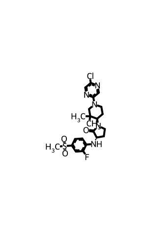 CC1(C)CN(c2cnc(Cl)cn2)CCC1N1CC[C@H](Nc2ccc(S(C)(=O)=O)cc2F)C1=O